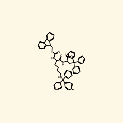 Cc1ccc(C(NCCCCC(NC(=O)OCC2c3ccccc3-c3ccccc32)C(=O)NC(CC(c2ccccc2)(c2ccccc2)c2ccccc2)C(O)=S)(c2ccccc2)c2ccccc2)cc1